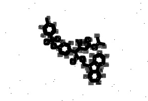 Cc1ccc(S(=O)(=O)Oc2ccc(C(C(=O)OCC3c4ccccc4-c4ccccc43)C(N)CC(=O)OC(C)C)cc2)cc1